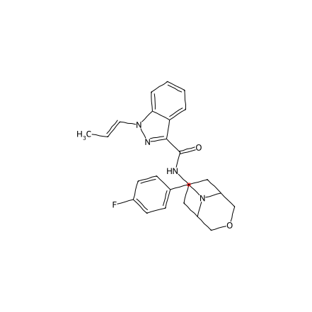 CC=Cn1nc(C(=O)NC2CC3COCC(C2)N3Cc2ccc(F)cc2)c2ccccc21